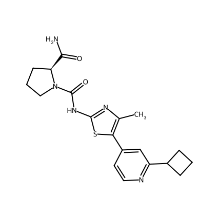 Cc1nc(NC(=O)N2CCC[C@H]2C(N)=O)sc1-c1ccnc(C2CCC2)c1